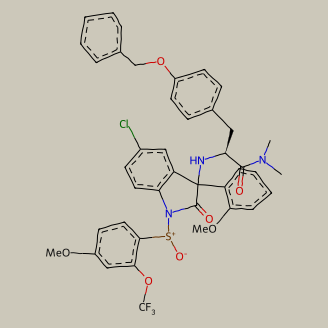 COc1ccc([S+]([O-])N2C(=O)C(N[C@@H](Cc3ccc(OCc4ccccc4)cc3)C(=O)N(C)C)(c3ccccc3OC)c3cc(Cl)ccc32)c(OC(F)(F)F)c1